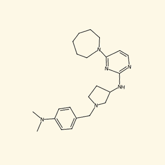 CN(C)c1ccc(CN2CCC(Nc3nccc(N4CCCCCC4)n3)C2)cc1